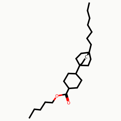 CCCCCCCC12CCC(C3CCC(C(=O)OCCCCC)CC3)(CC1)CC2